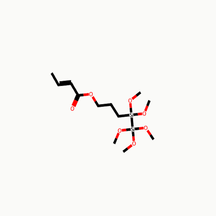 CC=CC(=O)OCCC[Si](OC)(OC)[Si](OC)(OC)OC